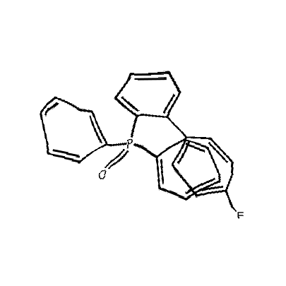 O=P(c1ccccc1)(c1ccccc1)c1ccccc1-c1ccc(F)cc1